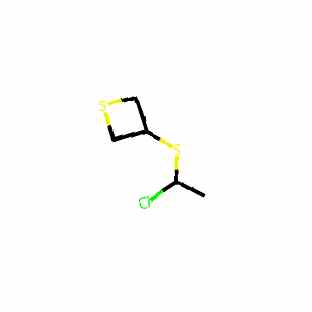 CC(Cl)SC1CSC1